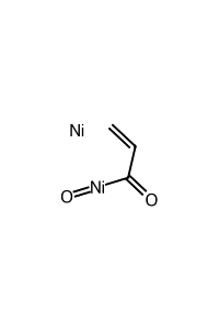 C=C[C](=O)[Ni]=[O].[Ni]